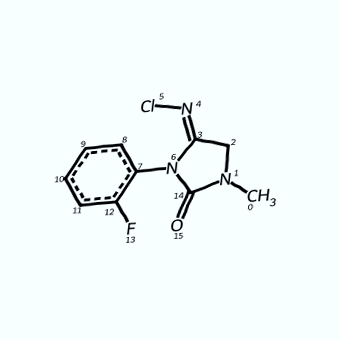 CN1C/C(=N/Cl)N(c2ccccc2F)C1=O